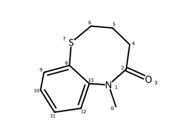 CN1C(=O)CCCSc2ccccc21